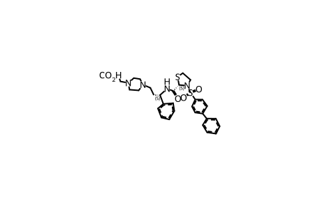 O=C(O)CN1CCN(CC[C@H](NC(=O)[C@@H]2SCCN2S(=O)(=O)c2ccc(-c3ccccc3)cc2)c2ccccc2)CC1